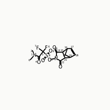 CN(C)C(=O)C(F)(F)S(=O)(=O)ON1C(=O)C2C3C=CC(C3)C2C1=O